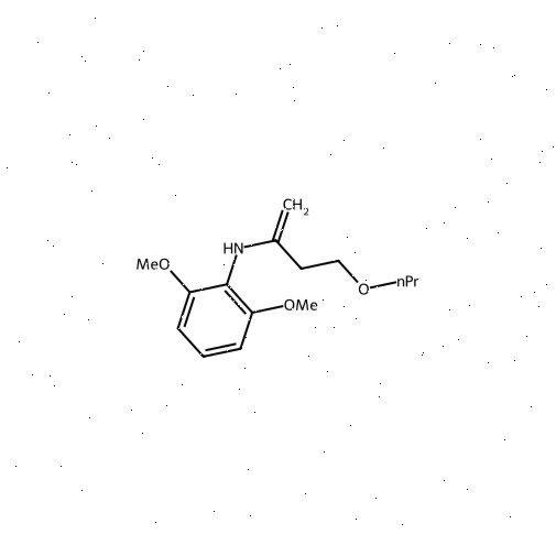 C=C(CCOCCC)Nc1c(OC)cccc1OC